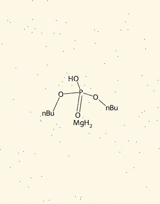 CCCCOP(=O)(O)OCCCC.[MgH2]